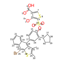 COc1c(C(=O)O)csc1S(=O)(=O)Oc1ccc(-c2c3ccccc3c(Br)c3sc(C)c(C)c23)cc1C1CCCC1